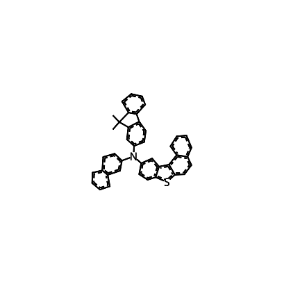 CC1(C)c2ccccc2-c2ccc(N(c3ccc4ccccc4c3)c3ccc4sc5ccc6ccccc6c5c4c3)cc21